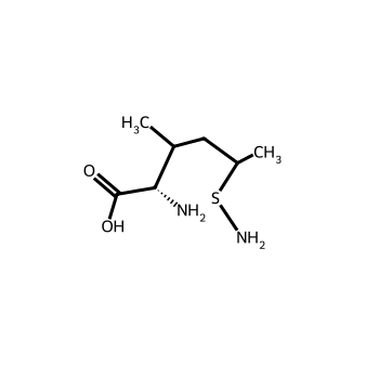 CC(CC(C)[C@H](N)C(=O)O)SN